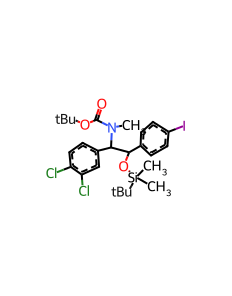 CN(C(=O)OC(C)(C)C)C(c1ccc(Cl)c(Cl)c1)C(O[Si](C)(C)C(C)(C)C)c1ccc(I)cc1